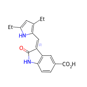 CCc1cc(CC)c(/C=C2\C(=O)Nc3ccc(C(=O)O)cc32)[nH]1